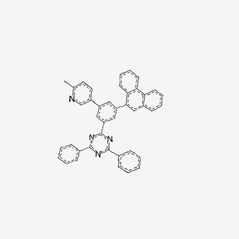 Cc1ccc(-c2cc(-c3nc(-c4ccccc4)nc(-c4ccccc4)n3)cc(-c3cc4ccccc4c4ccccc34)c2)cn1